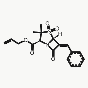 C=CCOC(=O)[C@@H]1N2C(=O)/C(=C\c3ccccc3)[C@H]2S(=O)(=O)C1(C)C